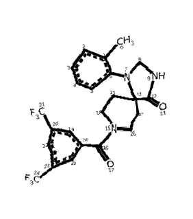 Cc1ccccc1N1CNC(=O)C12CCN(C(=O)c1cc(C(F)(F)F)cc(C(F)(F)F)c1)CC2